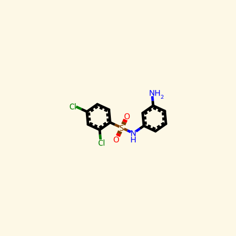 Nc1cccc(NS(=O)(=O)c2ccc(Cl)cc2Cl)c1